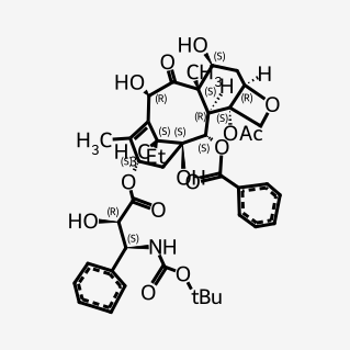 CC[C@@]1(C)C2=C(C)[C@@H](OC(=O)[C@H](O)[C@@H](NC(=O)OC(C)(C)C)c3ccccc3)C[C@@]1(O)[C@@H](OC(=O)c1ccccc1)[C@@H]1[C@]3(OC(C)=O)CO[C@@H]3C[C@H](O)[C@@]1(C)C(=O)[C@@H]2O